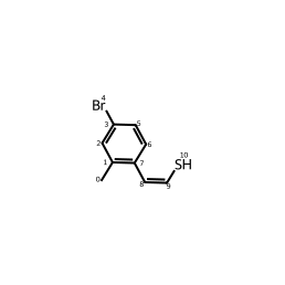 Cc1cc(Br)ccc1/C=C\S